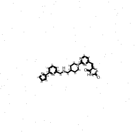 O=C1NC(=O)/C(=C\c2ccnc(N3CCC(CNCc4cccc(-c5cccs5)n4)CC3)n2)S1